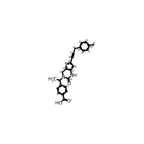 CC(c1ccc(C(=O)O)cc1)N1Cc2sc(C#CCc3ccc(F)cc3)cc2NC1=O